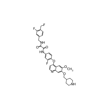 COc1cc2c(Oc3ccc(NC(=O)C(=O)NCc4ccc(CF)c(F)c4)cc3F)ccnc2cc1OCC1CCNCC1